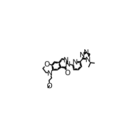 COCCN1CCOc2cc3cnn(-c4cccc(-c5nncn5C(C)C)n4)c(=O)c3cc21